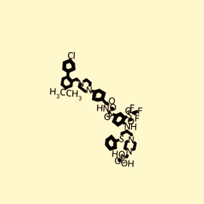 CC1(C)CCC(c2ccc(Cl)cc2)=C(CN2CCN(c3ccc(C(=O)NS(=O)(=O)c4ccc(NC(CSc5ccccc5)CN5CCN(CP(=O)(O)O)CC5)c(S(=O)(=O)C(F)(F)F)c4)cc3)CC2)C1